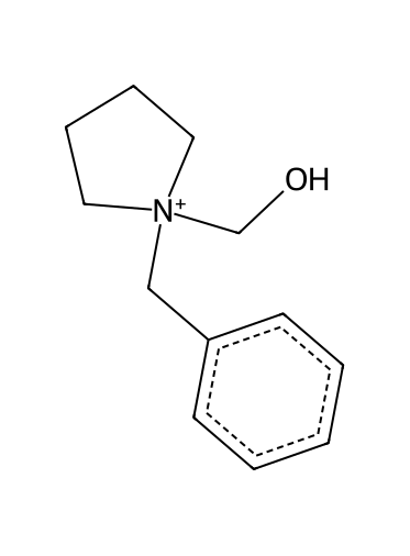 OC[N+]1(Cc2ccccc2)CCCC1